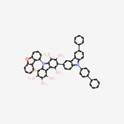 Bc1c(B)c(B)c2c(c1B)c1c(B)c(-c3ccc4c(c3)c3cc(-c5ccccc5)ccc3n4-c3ccc(-c4ccccc4)cc3)c(B)c(B)c1n2-c1cccc2oc3ccccc3c12